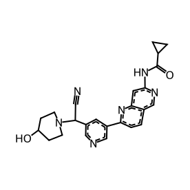 N#CC(c1cncc(-c2ccc3cnc(NC(=O)C4CC4)cc3n2)c1)N1CCC(O)CC1